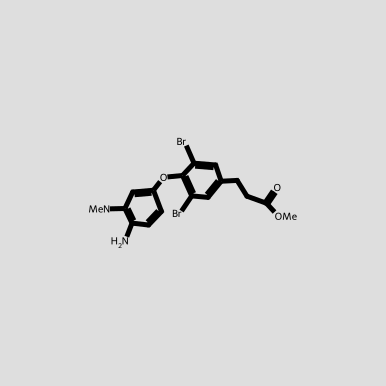 CNc1cc(Oc2c(Br)cc(CCC(=O)OC)cc2Br)ccc1N